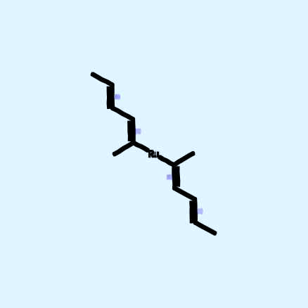 C/C=C/C=[C](\C)[Ru]/[C](C)=C/C=C/C